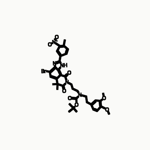 COc1ccc(CCN(CCCN2C(=O)c3c(cc(Br)c4nc(-c5ccc(C)c([N+](=O)[O-])c5)[nH]c34)C(C)(C)C2=O)C(=O)OC(C)(C)C)cc1OC